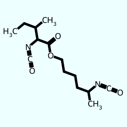 CCC(C)C(N=C=O)C(=O)OCCCCC(C)N=C=O